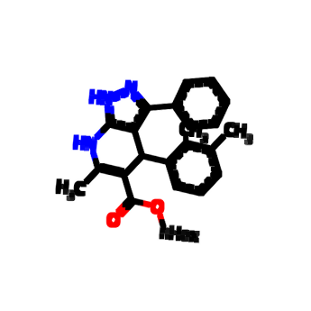 CCCCCCOC(=O)C1=C(C)Nc2[nH]nc(-c3ccccc3)c2C1c1cccc(C)c1C